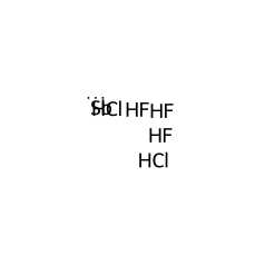 Cl.Cl.F.F.F.[Sb]